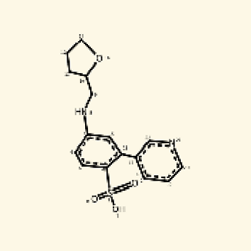 O=S(=O)(O)c1ccc(NCC2CCCO2)cc1-c1cccnc1